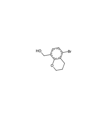 OCc1ccc(Br)c2c1OCCC2